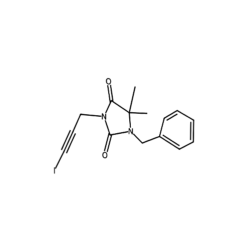 CC1(C)C(=O)N(CC#CI)C(=O)N1Cc1ccccc1